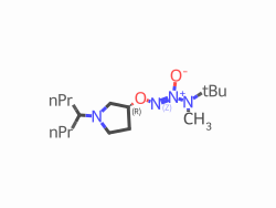 CCCC(CCC)N1CC[C@@H](O/N=[N+](\[O-])N(C)C(C)(C)C)C1